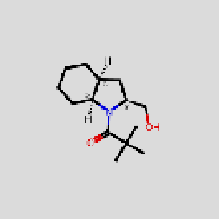 CC(C)(C)C(=O)N1[C@H](CO)C[C@@H]2CCCC[C@@H]21